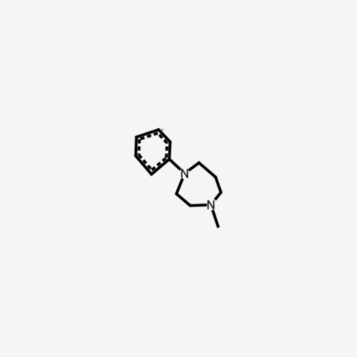 CN1CCCN(c2c[c]ccc2)CC1